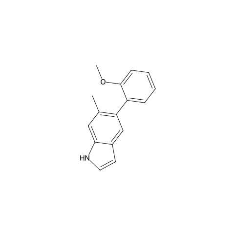 COc1ccccc1-c1cc2cc[nH]c2cc1C